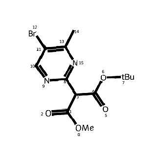 COC(=O)C(C(=O)OC(C)(C)C)c1ncc(Br)c(C)n1